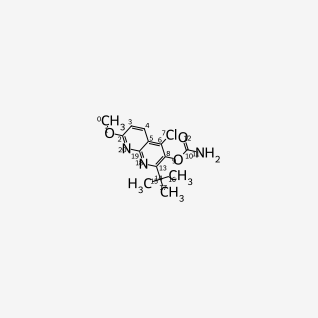 COc1ccc2c(Cl)c(OC(N)=O)c(C(C)(C)C)nc2n1